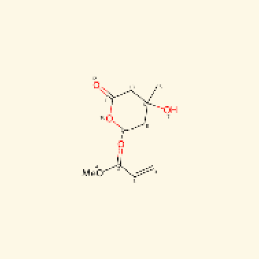 C=CC(=O)OC.CC1(O)CCOC(=O)C1